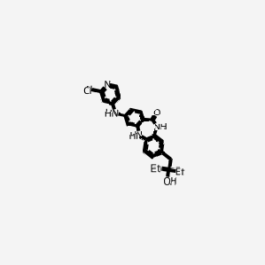 CCC(O)(CC)Cc1ccc2c(c1)NC(=O)c1ccc(Nc3ccnc(Cl)c3)cc1N2